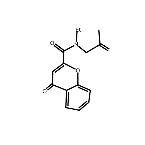 C=C(C)CN(CC)C(=O)c1cc(=O)c2ccccc2o1